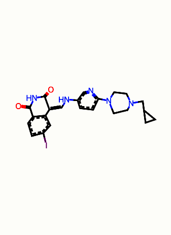 O=C1NC(=O)c2ccc(I)cc2C1=CNc1ccc(N2CCN(CC3CC3)CC2)nc1